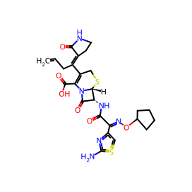 C=CCC(=C1CCNC1=O)C1=C(C(=O)O)N2C(=O)[C@@H](NC(=O)C(=NOC3CCCC3)c3csc(N)n3)[C@H]2SC1